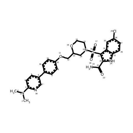 CN(C)c1ccc(-c2ccc(OCC3CN(S(=O)(=O)c4c(C(N)=O)[nH]c5ccc(Cl)cc45)CCO3)cc2)cn1